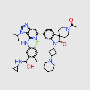 CC(=O)N1CCC2(CC1)C(=O)N([C@H]1C[C@@H](N3CCCCC3)C1)c1cc(-c3cc4ncn(C(C)C)c4c(Nc4cc(C(O)NC5CC5)c(C)cc4F)n3)ccc12